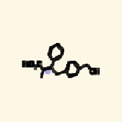 CCOC(=O)/C(C)=C(/Cc1ccc(CO)cc1)c1ccccc1